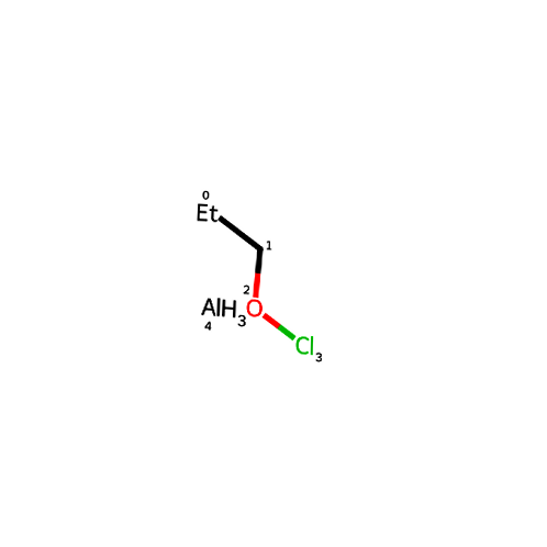 CCCOCl.[AlH3]